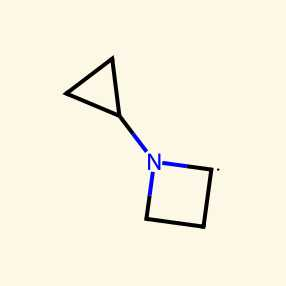 [CH]1CCN1C1CC1